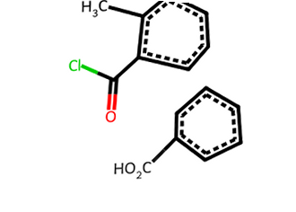 Cc1ccccc1C(=O)Cl.O=C(O)c1ccccc1